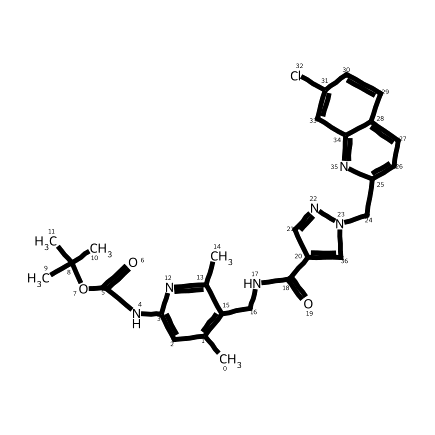 Cc1cc(NC(=O)OC(C)(C)C)nc(C)c1CNC(=O)c1cnn(Cc2ccc3ccc(Cl)cc3n2)c1